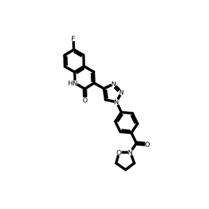 O=C(c1ccc(-n2cc(-c3cc4cc(F)ccc4[nH]c3=O)nn2)cc1)N1CCCO1